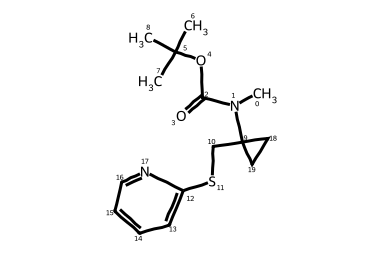 CN(C(=O)OC(C)(C)C)C1(CSc2ccccn2)CC1